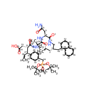 C=CC[C@H](CNC(=O)[C@H](CC(N)=O)NC(=O)C(C)(C)NC(=O)[C@@H](CC(=O)O)[C@H](C=C)c1ccc(CP(=O)(OC(C)(C)C)OC(C)(C)C)cc1)Cc1cccc2ccccc12